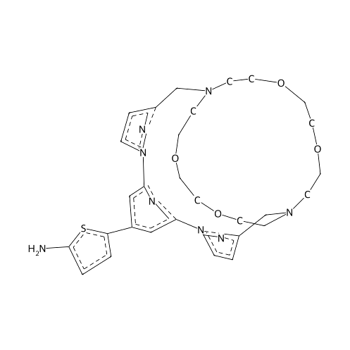 Nc1ccc(-c2cc3nc(c2)-n2ccc(n2)CN2CCOCCOCCN(CCOCCOCC2)Cc2ccn-3n2)s1